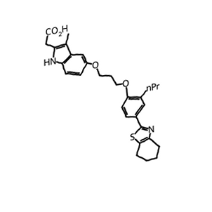 CCCc1cc(-c2nc3c(s2)CCCC3)ccc1OCCCOc1ccc2[nH]c(CC(=O)O)c(C)c2c1